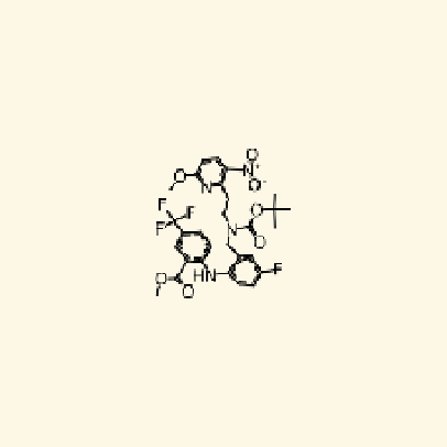 COC(=O)c1cc(C(F)(F)F)ccc1Nc1ccc(F)cc1CN(CCc1nc(OC)ccc1[N+](=O)[O-])C(=O)OC(C)(C)C